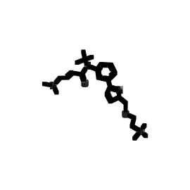 CN(C)CC=CC(=O)N(c1cccc(C2=NC(COCC[Si](C)(C)C)C=C2)c1)C(C)(C)C